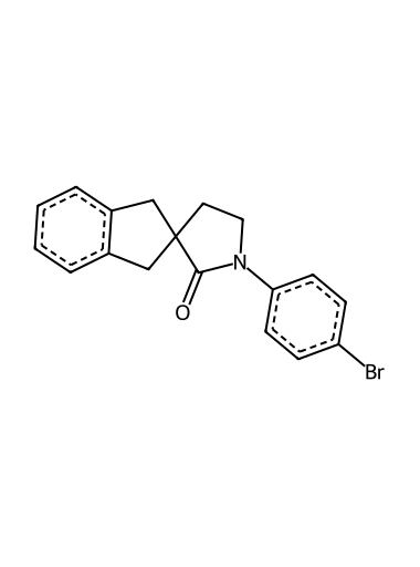 O=C1N(c2ccc(Br)cc2)CCC12Cc1ccccc1C2